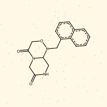 O=C1CN2C(=O)CON(Cc3cccc4ccccc34)C2CN1